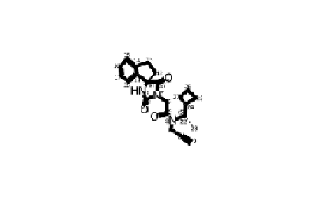 C#CCN(C(=O)CN1C(=O)N[C@@]2(CCc3ccccc32)C1=O)[C@@H](C)C1CCC1